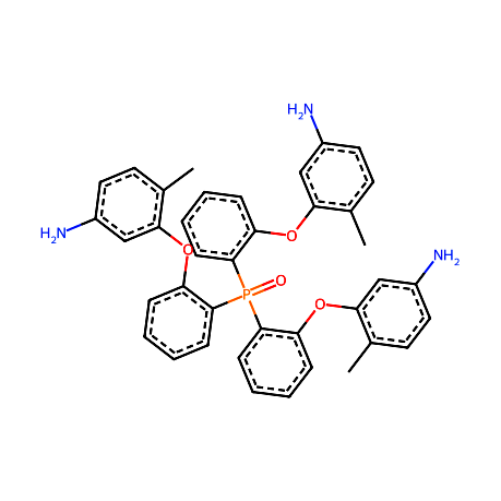 Cc1ccc(N)cc1Oc1ccccc1P(=O)(c1ccccc1Oc1cc(N)ccc1C)c1ccccc1Oc1cc(N)ccc1C